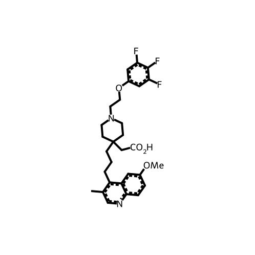 COc1ccc2ncc(C)c(CCCC3(CC(=O)O)CCN(CCOc4cc(F)c(F)c(F)c4)CC3)c2c1